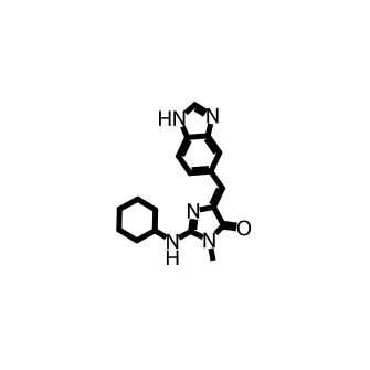 CN1C(=O)/C(=C/c2ccc3[nH]cnc3c2)N=C1NC1CCCCC1